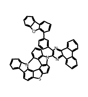 c1cc(-c2nc3c4ccccc4c4ccccc4c3nc2-n2c3ccc4sc5ccc6c7ccccc7n7c8cccc2c8c3c4c5c67)cc(-c2cccc3c2oc2ccccc23)c1